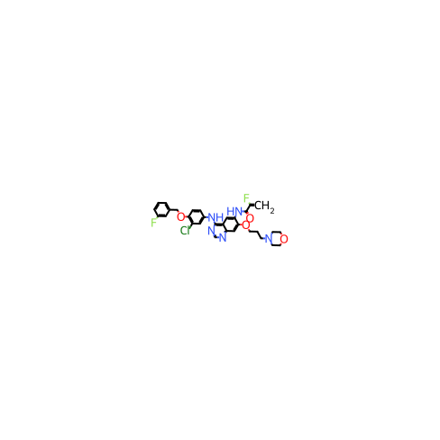 C=C(F)C(=O)Nc1cc2c(Nc3ccc(OCc4cccc(F)c4)c(Cl)c3)ncnc2cc1OCCCN1CCOCC1